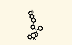 CC1(C)C=Cc2cc3cc(-c4cccc(N(C5=CC=C6CC5=Cc5ccccc5C6(C)C)C5C=CC=CC5)c4)ccc3cc21